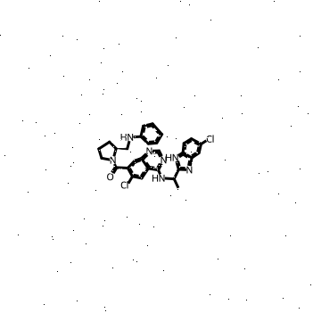 CC(Nc1ncnc2cc(C(=O)N3CCC[C@H]3CNc3ccccc3)c(Cl)cc12)c1nc2cc(Cl)ccc2[nH]1